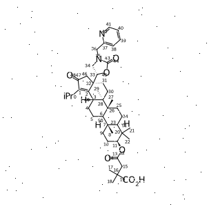 CC(C)C1=C2[C@H]3CC[C@@H]4[C@@]5(C)CC[C@H](OC(=O)CC(C)(C)C(=O)O)C(C)(C)[C@@H]5CC[C@@]4(C)[C@]3(C)CC[C@@]2([C@@H]2CN(Cc3ccccn3)C(=O)O2)CC1=O